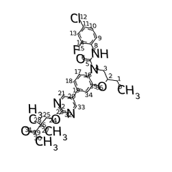 CCC1CN(C(=O)Nc2ccc(Cl)cc2F)c2ccc(-c3cnc(OCC(C)(C)C(C)=O)nc3)cc2O1